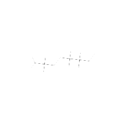 CCC(F)(F)C(F)(F)CCC(F)(F)C(F)F